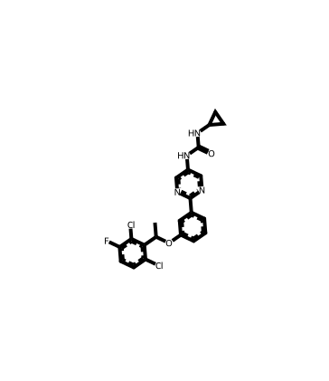 CC(Oc1cccc(-c2ncc(NC(=O)NC3CC3)cn2)c1)c1c(Cl)ccc(F)c1Cl